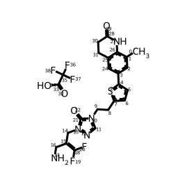 Cc1cc(-c2ccc(CCn3cnn(CC(CN)=C(F)F)c3=O)s2)cc2c1NC(=O)CC2.O=C(O)C(F)(F)F